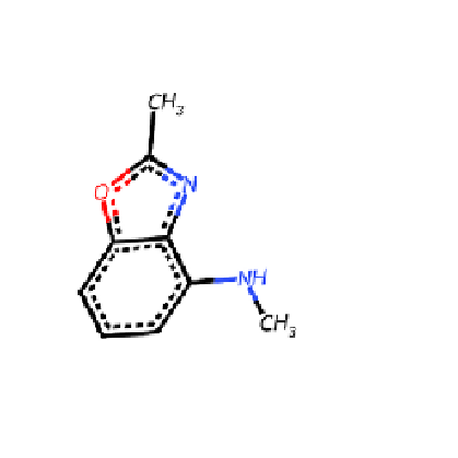 CNc1cccc2oc(C)nc12